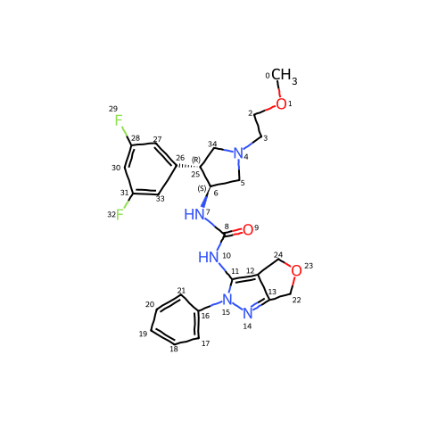 COCCN1C[C@@H](NC(=O)Nc2c3c(nn2-c2ccccc2)COC3)[C@H](c2cc(F)cc(F)c2)C1